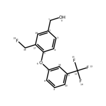 OCc1ccc(Oc2cccc(C(F)(F)F)c2)c(CF)c1